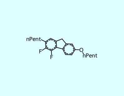 CCCCCOc1ccc2c(c1)Cc1cc(CCCCC)c(F)c(F)c1-2